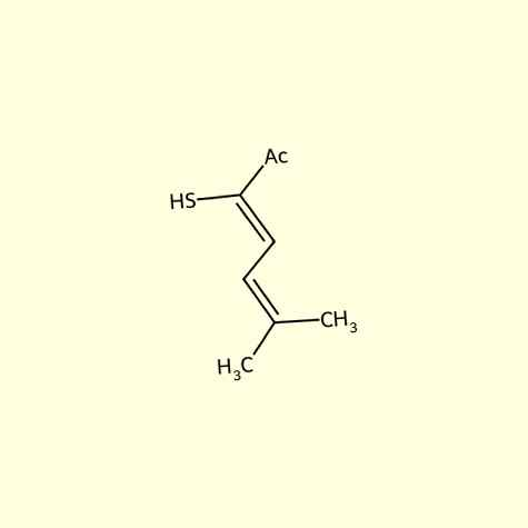 CC(=O)/C(S)=C/C=C(C)C